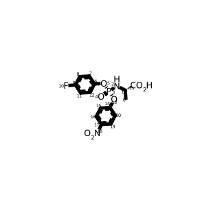 C[C@H](NP(=O)(Oc1ccc(F)cc1)Oc1ccc([N+](=O)[O-])cc1)C(=O)O